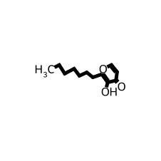 CCCCCCCc1occc(=O)c1O